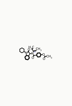 C=C/C(=C\C)N(C(=O)c1ccc(OC(C)=O)cc1)C1C(=O)N(C2CCCCC2)c2ccccc21